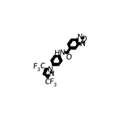 O=C(Nc1ccc(-n2nc(C(F)(F)F)cc2C(F)(F)F)cc1)c1ccc2nonc2c1